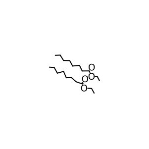 CCCCCCCC(=O)OCC.CCCCCCCC(=O)OCC